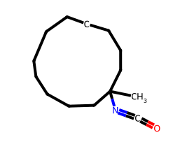 CC1(N=C=O)CCCCCCCCCCC1